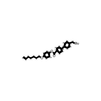 C=CCCCCCOc1ccc(OC(=O)c2ccc(-c3ccc(CC(C)CC)cc3)cc2)cc1